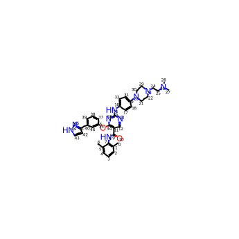 Cc1cccc(C)c1NC(=O)c1cnc(Nc2ccc(N3CCN(CCN(C)C)CC3)cc2)nc1Oc1cccc(-c2cc[nH]n2)c1